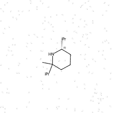 CC(C)[C@@H]1CCCC(C)(C(C)C)N1